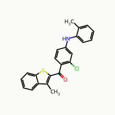 Cc1ccccc1Nc1ccc(C(=O)c2sc3ccccc3c2C)c(Cl)c1